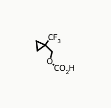 O=C(O)OCC1(C(F)(F)F)CC1